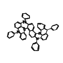 c1ccc(C2c3ccccc3B3c4c2cccc4N(c2ccccc2)c2ccc4c5c(ccc4c23)N(c2ccccc2)c2cccc3c2B5c2ccccc2N3c2ccccc2)cc1